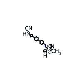 CC(O)c1nccn1C(/C=C/c1ccc(-c2ccc(C3CC(NCCC#N)C3)cc2)cc1)CO